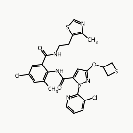 Cc1cc(Cl)cc(C(=O)NCCc2scnc2C)c1NC(=O)c1cc(OC2CSC2)nn1-c1ncccc1Cl